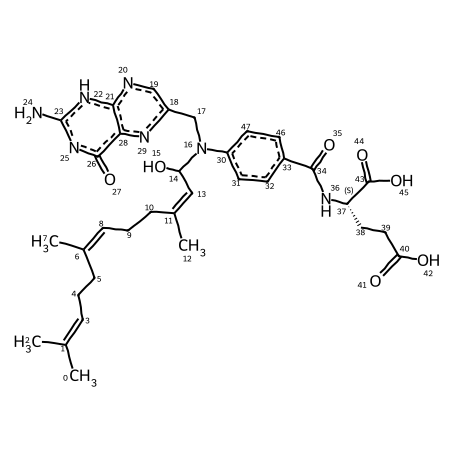 CC(C)=CCCC(C)=CCCC(C)=CC(O)N(Cc1cnc2[nH]c(N)nc(=O)c2n1)c1ccc(C(=O)N[C@@H](CCC(=O)O)C(=O)O)cc1